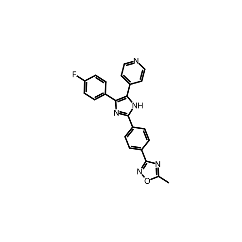 Cc1nc(-c2ccc(-c3nc(-c4ccc(F)cc4)c(-c4ccncc4)[nH]3)cc2)no1